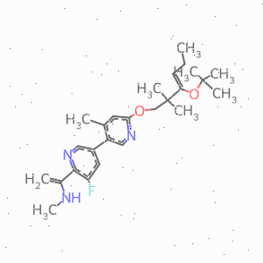 C=C(NC)c1ncc(-c2cnc(OCC(C)(C)/C(=C/CC)OC(C)(C)C)cc2C)cc1F